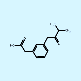 CC(C)C(=O)Cc1cccc(CC(=O)O)c1